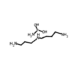 NCCCCNCCCN.NP(O)O